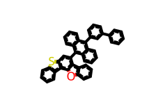 c1ccc(-c2cccc(-c3c4ccccc4c(-c4cc5sc6ccccc6c5c5oc6ccccc6c45)c4ccccc34)c2)cc1